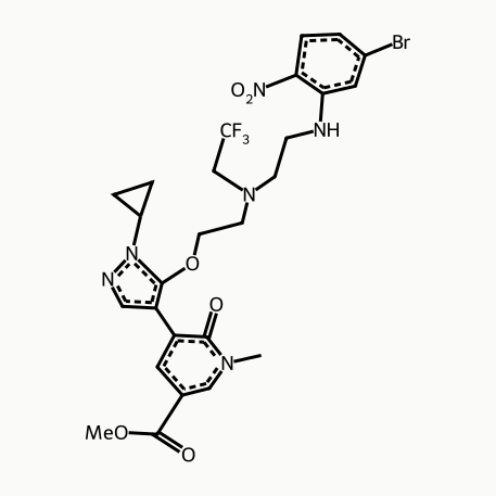 COC(=O)c1cc(-c2cnn(C3CC3)c2OCCN(CCNc2cc(Br)ccc2[N+](=O)[O-])CC(F)(F)F)c(=O)n(C)c1